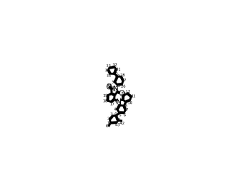 Cc1ccc(-c2ccc3c4ccccc4n(-c4cccc5c4C(=O)N(c4cccc(-c6ccccc6)c4)C5=O)c3c2)c(C)c1